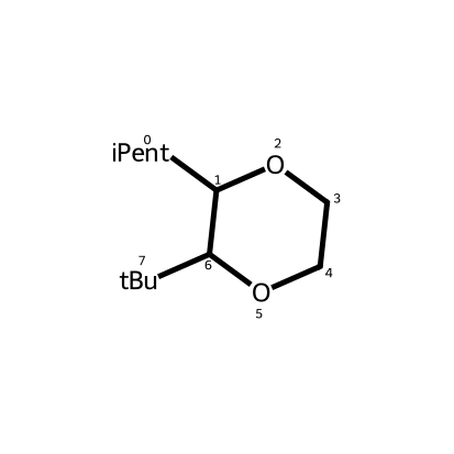 CCCC(C)C1OCCOC1C(C)(C)C